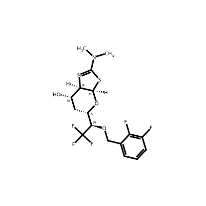 CN(C)C1=N[C@H]2[C@H](O[C@H]([C@@H](OCc3cccc(F)c3F)C(F)(F)F)C[C@@H]2O)S1